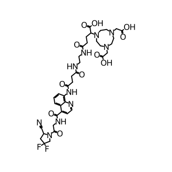 N#CC1CC(F)(F)CN1C(=O)CNC(=O)c1ccnc2c(NC(=O)CCC(=O)NCCNC(=O)CCC(C(=O)O)N3CCN(CC(=O)O)CCN(CC(=O)O)CC3)cccc12